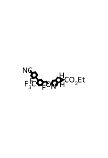 CCOC(=O)[C@H]1[C@@H]2Cc3cc(OCc4cc(-c5ccc(C#N)cc5F)c(C(F)(F)F)cc4F)ncc3[C@@H]21